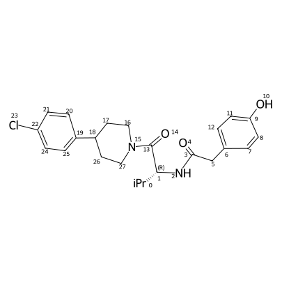 CC(C)[C@@H](NC(=O)Cc1ccc(O)cc1)C(=O)N1CCC(c2ccc(Cl)cc2)CC1